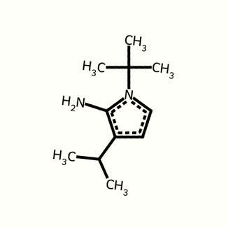 CC(C)c1ccn(C(C)(C)C)c1N